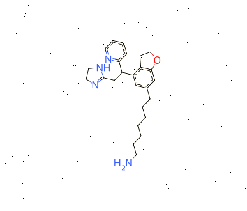 NCCCCCCCc1cc2c(c(C(CC3=NCCN3)c3ccccn3)c1)CCO2